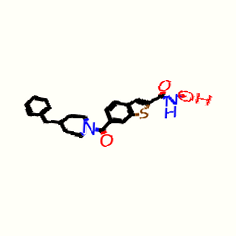 O=C(NO)c1cc2ccc(C(=O)N3CCC(Cc4ccccc4)CC3)cc2s1